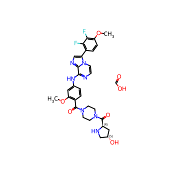 COc1cc(Nc2nccn3c(-c4ccc(OC)c(F)c4F)cnc23)ccc1C(=O)N1CCN(C(=O)[C@H]2C[C@H](O)CN2)CC1.O=CO